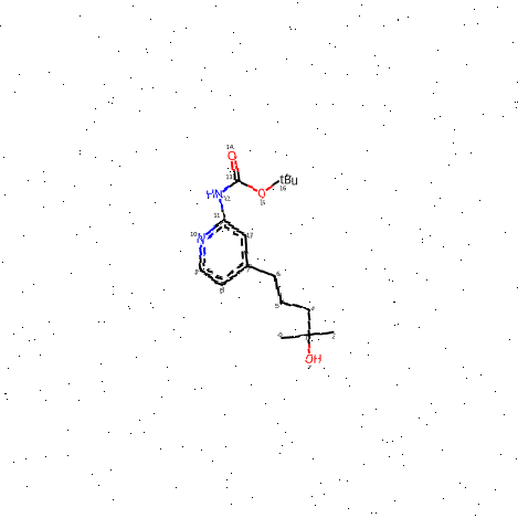 CC(C)(O)CCCc1ccnc(NC(=O)OC(C)(C)C)c1